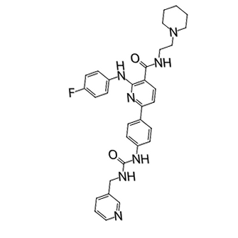 O=C(NCc1cccnc1)Nc1ccc(-c2ccc(C(=O)NCCN3CCCCC3)c(Nc3ccc(F)cc3)n2)cc1